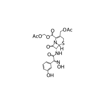 CC(=O)OCOC(=O)C1=C(COC(C)=O)CS[C@@H]2[C@H](NC(=O)C(=NO)c3cccc(O)c3)C(=O)N12